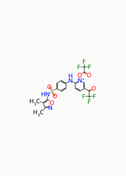 Cc1noc(NS(=O)(=O)c2ccc(Nc3ccc(C(=O)C(F)(F)F)c[n+]3OC(=O)C(F)(F)F)cc2)c1C